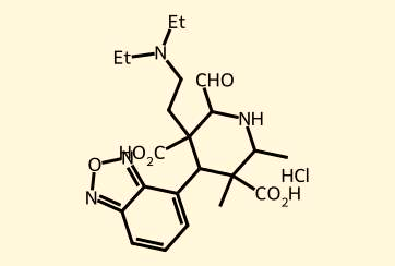 CCN(CC)CCC1(C(=O)O)C(C=O)NC(C)C(C)(C(=O)O)C1c1cccc2nonc12.Cl